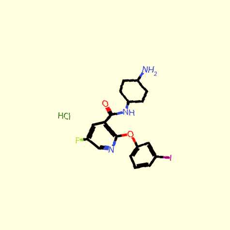 Cl.NC1CCC(NC(=O)c2cc(F)cnc2Oc2cccc(I)c2)CC1